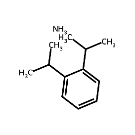 CC(C)c1ccccc1C(C)C.N